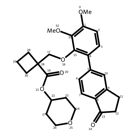 COc1ccc(-c2ccc3c(c2)CCC3=O)c(OCC2(C(=O)OC3CCOCC3)CCC2)c1OC